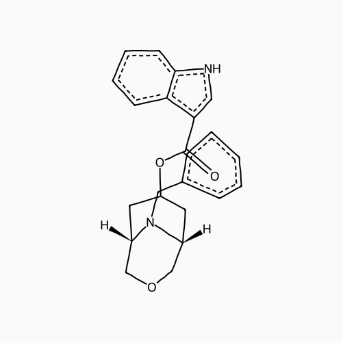 O=C(OC1C[C@H]2COC[C@@H](C1)N2Cc1ccccc1)c1c[nH]c2ccccc12